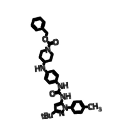 Cc1ccc(-n2nc(C(C)(C)C)cc2NC(=O)Nc2ccc(NC3CCN(C(=O)OCc4ccccc4)CC3)cc2)cc1